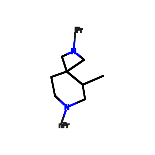 CCCN1CCC2(CN(C(C)C)C2)C(C)C1